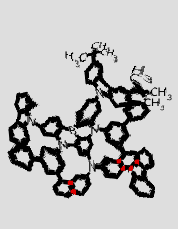 CC(C)(C)c1ccc2c(c1)c1cc(C(C)(C)C)ccc1n2-c1ccc2c(c1)N(c1cc(-c3ccccc3)cc(-c3ccccc3)c1)c1cc(N(c3ccccc3)c3ccc(-n4c5ccccc5c5ccccc54)cc3)cc3c1B2c1ccc(-n2c4ccccc4c4ccccc42)cc1N3c1cc(-c2ccccc2)cc(-c2ccccc2)c1